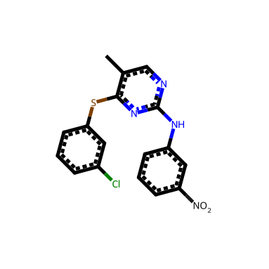 Cc1cnc(Nc2cccc([N+](=O)[O-])c2)nc1Sc1cccc(Cl)c1